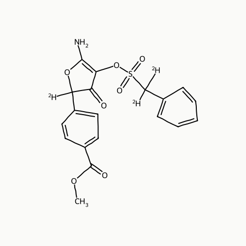 [2H]C1(c2ccc(C(=O)OC)cc2)OC(N)=C(OS(=O)(=O)C([2H])([2H])c2ccccc2)C1=O